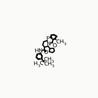 Cc1cccc(F)c1C(=O)N1CCCC(C(=O)Nc2cccc(C(C)(C)C)c2)C1C1CCCC1